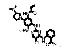 C=CC(=O)Nc1cc(Nc2ncc(Cl)c(Nc3ccccc3C(N)=O)n2)c(OC)cc1N1CCC(N(C)C)C1